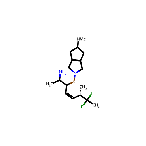 CNC1CC2CN(SC(/C=C\[C@H](C)C(C)(F)F)C(C)N)CC2C1